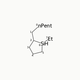 CCCCCCC1CCC[SiH]1CC